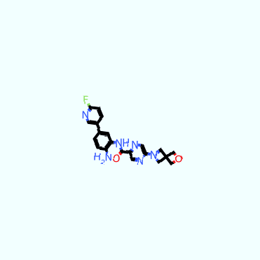 Nc1ccc(-c2ccc(F)nc2)cc1NC(=O)c1cnc(N2CC3(COC3)C2)cn1